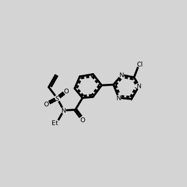 C=CS(=O)(=O)N(CC)C(=O)c1cccc(-c2n[c]nc(Cl)n2)c1